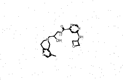 Cc1csc2c1CN(CC(O)CNC(=O)c1cc(NC3COC3)ncn1)CC2